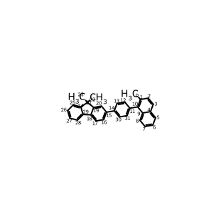 Cc1ccc2ccccc2c1-c1ccc(-c2ccc3c(c2)C(C)(C)c2ccccc2-3)cc1